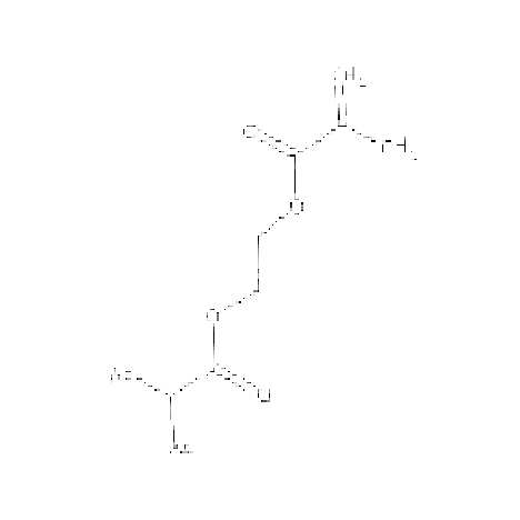 C=C(C)C(=O)OCCOC(=O)C(C(C)=O)C(C)=O